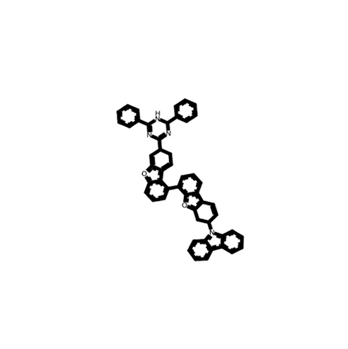 C1=CC(n2c3ccccc3c3ccccc32)Cc2oc3c(-c4cccc5oc6c(c45)=CCC(C4=NC(c5ccccc5)NC(c5ccccc5)=N4)C=6)cccc3c21